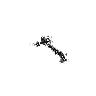 C#Cc1ccc(CNC(=O)[C@@H]2C[C@@H](O)CN2C(=O)[C@@H](NC(=O)[C@H]2CCC3(CC2)C[C@H](N2CCN(c4cnc(N5CCN6c7cc(-c8ccccc8O)nnc7NC[C@H]6C5)nc4)CC2)C3)C(C)(C)CCO)cc1